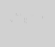 CCCCC(=O)c1ccccc1NCC1=NCCN1